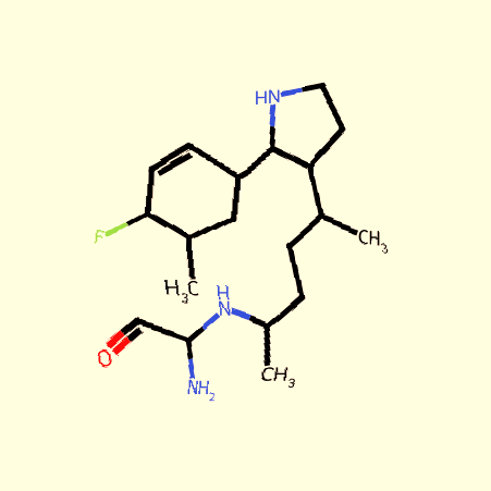 CC(CCC(C)C1CCNC1C1C=CC(F)C(C)C1)NC(N)C=O